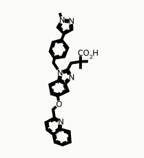 Cn1cc(-c2ccc(Cn3c(CC(C)(C)C(=O)O)nc4cc(OCc5ccc6ccccc6n5)ccc43)cc2)cn1